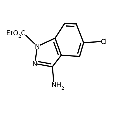 CCOC(=O)n1nc(N)c2cc(Cl)ccc21